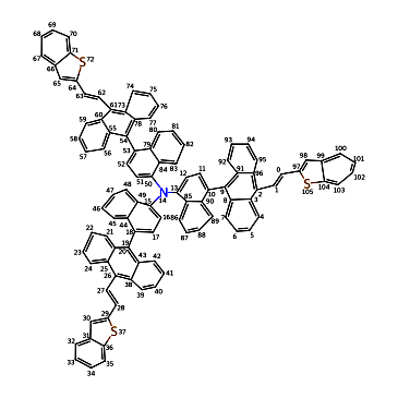 C(=C\c1c2ccccc2c(-c2ccc(N(c3ccc(-c4c5ccccc5c(/C=C/c5cc6ccccc6s5)c5ccccc45)c4ccccc34)c3ccc(-c4c5ccccc5c(/C=C/c5cc6ccccc6s5)c5ccccc45)c4ccccc34)c3ccccc23)c2ccccc12)/c1cc2ccccc2s1